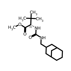 COC(=O)[C@@H](NC(=O)NCC1CC2CCCC(C2)C1)C(C)(C)C